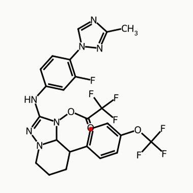 Cc1ncn(-c2ccc(NC3=NN4CCCC(c5ccc(OC(F)(F)F)cc5)C4N3OC(=O)C(F)(F)F)cc2F)n1